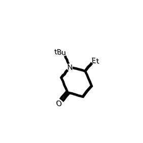 CCC1CCC(=O)CN1C(C)(C)C